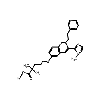 CC(C)OC(=O)C(C)(C)CCCOc1ccc2c(c1)C=C(c1nccn1C)C(CCc1ccccc1)O2